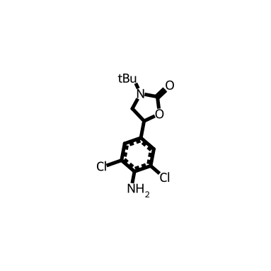 CC(C)(C)N1CC(c2cc(Cl)c(N)c(Cl)c2)OC1=O